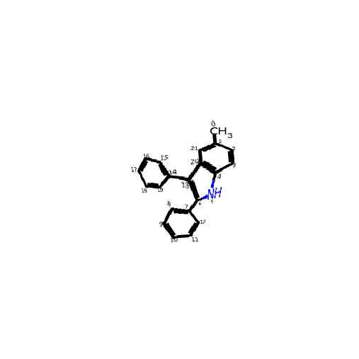 Cc1ccc2[nH]c(-c3ccccc3)c(-c3ccccc3)c2c1